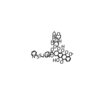 COc1cccc2c1C(=O)c1c(O)c3c(c(O)c1C2=O)C[C@@](O)(C(=O)N1CCN(CSSc2ccccn2)CC1)C[C@@H]3O[C@H]1C[C@H]2[C@H](O[C@@H]3[C@@H](OC)OCCN32)[C@H](C)O1